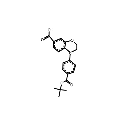 CC(C)(C)OC(=O)c1ccc(N2CCOc3cc(C(=O)O)ccc32)cc1